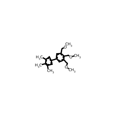 COCc1cc(-c2cc(C)c(C)c(C)c2)cc(COC)c1COC